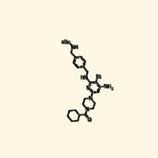 CCCCNCc1ccc(CNc2nc(N3CCN(C(=O)C4CCCCC4)CC3)cc(N)c2CC)cc1